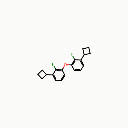 Fc1c(Oc2cccc(C3CCC3)c2F)cccc1C1CCC1